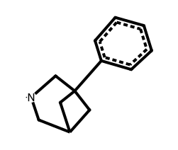 c1ccc(C23C[N]CC(C2)C3)cc1